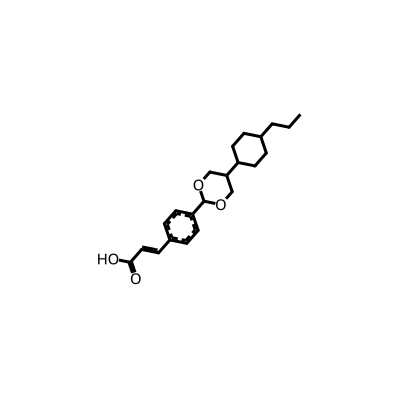 CCCC1CCC(C2COC(c3ccc(C=CC(=O)O)cc3)OC2)CC1